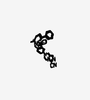 C[C@H]1CCC(c2ccccc2)S(=O)(=O)N1Cc1ccc(N2CCn3c(cnc3C#N)C2)cc1F